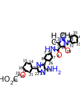 Cc1c(C(=O)Nc2ccc(-c3nc(-c4cccc(OCC(=O)O)c4)cnc3N)cc2)c(=O)n(-c2ccccc2)n1C